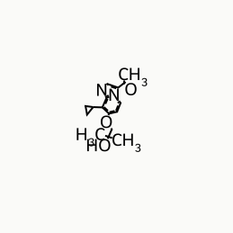 CC(=O)c1cnc2c(C3CC3)c(OCC(C)(C)O)ccn12